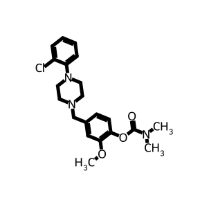 COc1cc(CN2CCN(c3ccccc3Cl)CC2)ccc1OC(=O)N(C)C